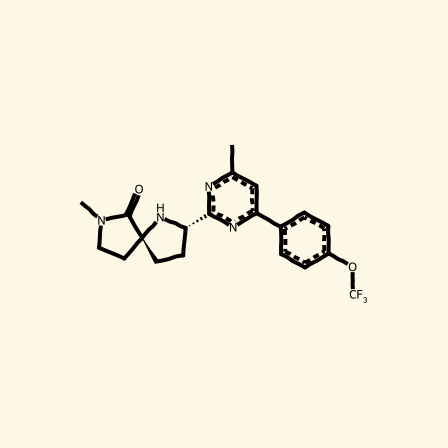 Cc1cc(-c2ccc(OC(F)(F)F)cc2)nc([C@@H]2CC[C@]3(CCN(C)C3=O)N2)n1